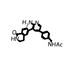 CC(=O)NCc1ccc(-c2cnc(N)c(-c3ccc4c(c3)CCNC4=O)c2)cc1